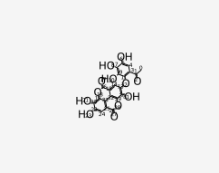 CC(=O)c1cc(O)c(O)c(O)c1Oc1cc2c(=O)oc3c(O)c(O)cc4c(=O)oc(c1O)c2c34